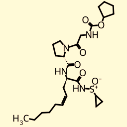 CCCCC/C=C\C[C@@H](NC(=O)[C@@H]1CCCN1C(=O)CNC(=O)OC1CCCC1)C(=O)N[S+]([O-])C1CC1